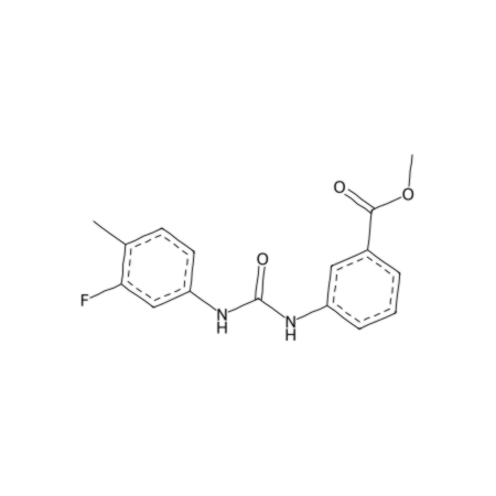 COC(=O)c1cccc(NC(=O)Nc2ccc(C)c(F)c2)c1